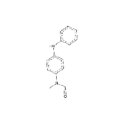 CN(C=O)c1ccc(Nc2ccccc2)cc1